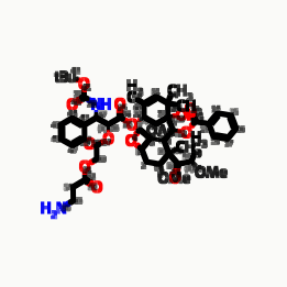 CO[C@H]1CC2OC[C@@]2(OC(C)=O)[C@@H]([C@H](OC(=O)c2ccccc2)[C@]2(O)C[C@H](OC(=O)[C@H](OC(=O)COC(=O)CCN)[C@@H](NC(=O)OC(C)(C)C)c3ccccc3)C(C)=CC2(C)C)[C@]1(C)C(=O)[C@@H](C)OC